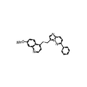 COc1ccc2c(CCc3cnc4ccc(-c5ccccc5)nn34)ccnc2c1